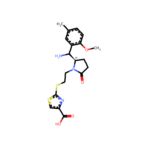 COc1ccc(C)cc1C(N)[C@H]1CCC(=O)N1CCSc1nc(C(=O)O)cs1